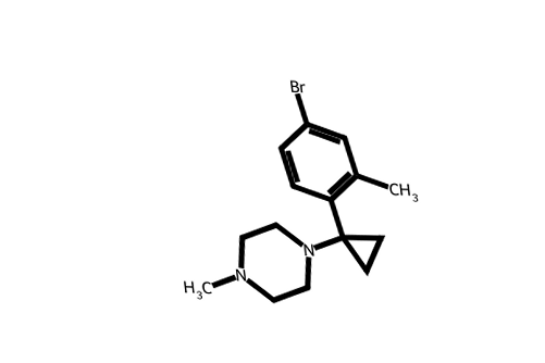 Cc1cc(Br)ccc1C1(N2CCN(C)CC2)CC1